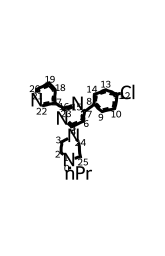 CCCN1CCN(c2cc(-c3ccc(Cl)cc3)nc(-c3cccnc3)n2)CC1